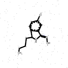 CCCCC1N/C(=N\O)c2cc(Cl)ccc21